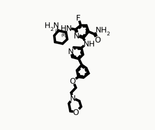 NC(=O)c1cc(F)c(N[C@@H]2CCCC[C@@H]2N)nc1Nc1cncc(-c2cccc(OCCN3CCOCC3)c2)c1